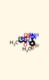 COc1cc(NC(=O)C(CC(C)C)NC(=O)O)c(-c2nn[nH]n2)cc1Br